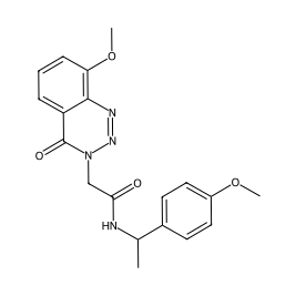 COc1ccc(C(C)NC(=O)Cn2nnc3c(OC)cccc3c2=O)cc1